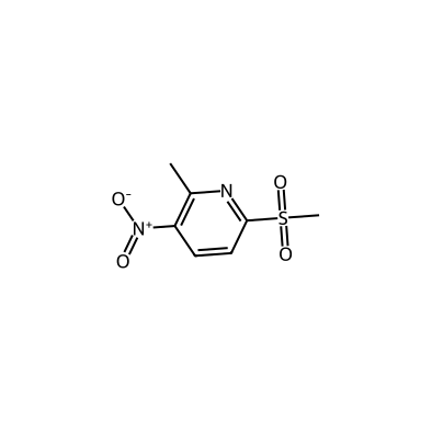 Cc1nc(S(C)(=O)=O)ccc1[N+](=O)[O-]